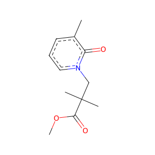 COC(=O)C(C)(C)Cn1cccc(C)c1=O